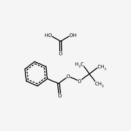 CC(C)(C)OOC(=O)c1ccccc1.O=C(O)O